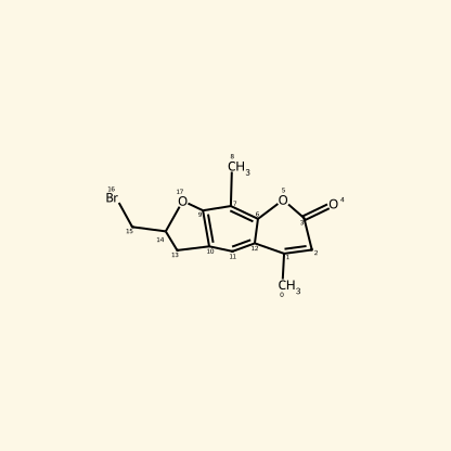 Cc1cc(=O)oc2c(C)c3c(cc12)CC(CBr)O3